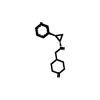 c1cncc([C@H]2C[C@@H]2NCC2CCNCC2)c1